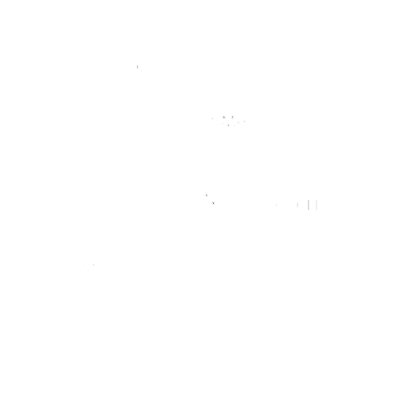 CSc1c(Cl)ccc2c(=O)c3ccc(C)cc3n(CC(=O)O)c12